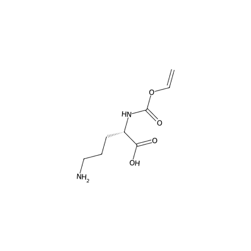 C=COC(=O)N[C@@H](CCCN)C(=O)O